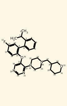 CC(C)c1ccccc1-c1cc(F)ccc1Oc1cncnc1N1CCN(CC2CCCOC2)CC1